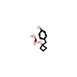 O=CO.OC1(Cc2ccc(Cl)cc2)CCC1